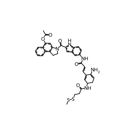 CSSCCC(=O)NC1C=C(/C=C/C(=O)Nc2ccc3[nH]c(C(=O)N4CCc5c4cc(OC(C)=O)c4ccccc54)cc3c2)C(N)=CC1